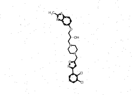 Cc1nc2cc(OC[C@H](O)CN3CCN(Cc4cc(-c5cccc(Cl)c5Cl)no4)CC3)ccc2s1